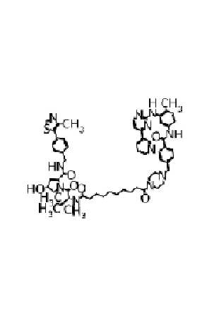 Cc1ccc(NC(=O)c2ccc(CN3CCN(C(=O)CCCCCCCCC(=O)N[C@H](C(=O)N4C[C@H](O)C[C@H]4C(=O)NCc4ccc(-c5scnc5C)cc4)C(C)(C)C)CC3)cc2)cc1Nc1nccc(-c2cccnc2)n1